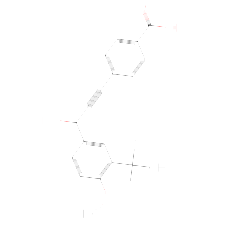 COc1ccc(C(O)C#Cc2ccc(C(=O)O)cc2)cc1C(C)(C)C